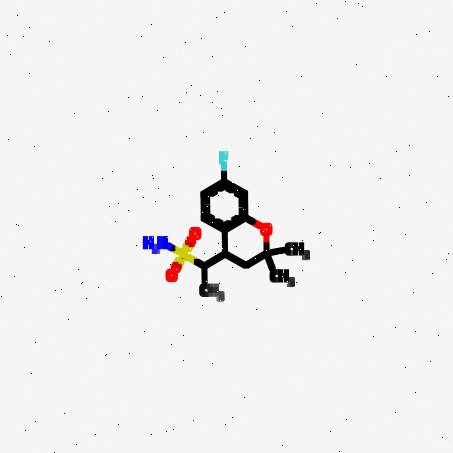 CC(C1CC(C)(C)Oc2cc(F)ccc21)S(N)(=O)=O